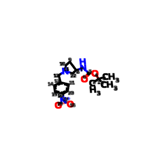 CC(C)(C)OC(=O)NC1CCN(Cc2ccc([N+](=O)[O-])cc2)C1